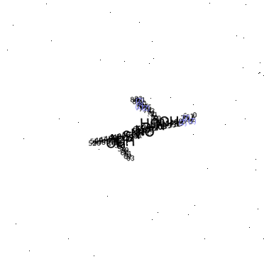 CC/C=C\C/C=C\C/C=C\CCCCCCC(O)CN(CCCCC(=O)OCCN1CCN(CCSSCCCCN(CC(O)CCCCCCCC)CC(O)CCCCCCCC)CC1)CC(O)CCCCCC/C=C\C/C=C\C/C=C\CC